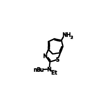 CCCCN(CC)C1=NC2=CC=C(N)C=C(C2)S1